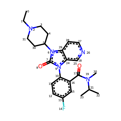 CCN1CCC(n2c(=O)n(-c3ccc(F)cc3C(=O)N(C)C(C)C)c3cnccc32)CC1